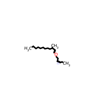 CC/C=C\CCOC=CC(C)CCCCCCCCC